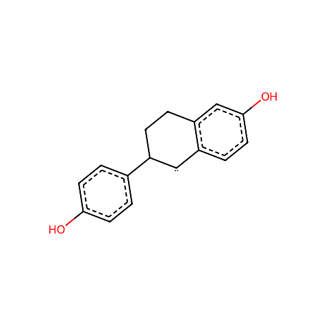 Oc1ccc(C2[C]c3ccc(O)cc3CC2)cc1